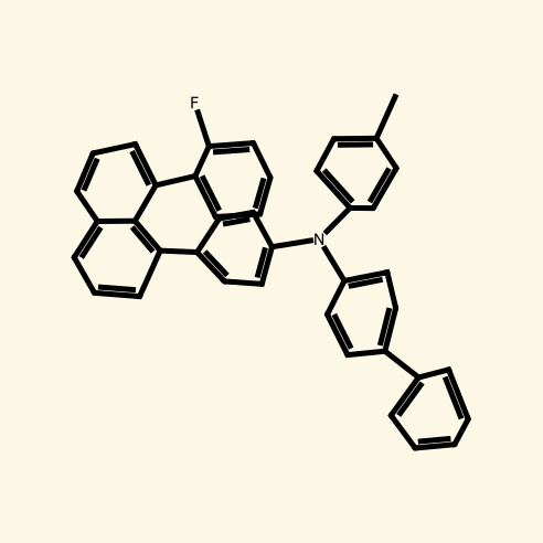 Cc1ccc(N(c2ccc(-c3ccccc3)cc2)c2ccc(-c3cccc4cccc(-c5ccccc5F)c34)cc2)cc1